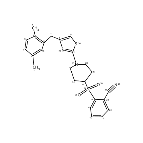 Cc1ccc(C)c(Cc2csc(N3CCC(S(=O)(=O)c4ccccc4C#N)CC3)n2)c1